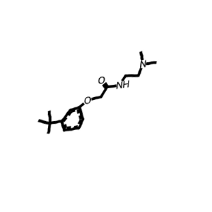 CN(C)CCNC(=O)COc1cccc(C(C)(C)C)c1